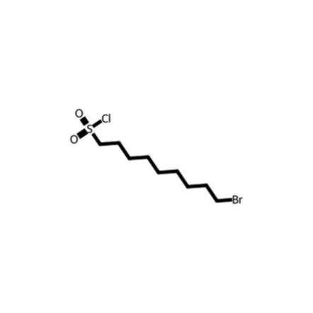 O=S(=O)(Cl)CCCCCCCCCBr